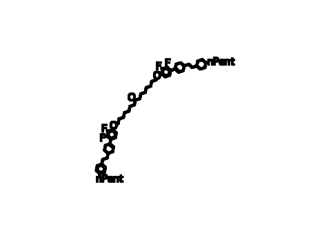 CCCCCc1ccc(CCC2CC=C(c3ccc(OCCCCCCCC(=O)CCCCCCCOc4ccc(C5=CCC(CCC6CCC(CCCCC)CC6)CC5)c(F)c4F)c(F)c3F)CC2)cc1